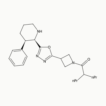 CCCC(CCC)C(=O)N1CC(c2nnc([C@@H]3NCCC[C@@H]3c3ccccc3)o2)C1